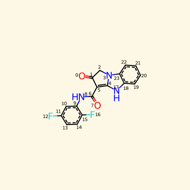 O=C1CN2C(=C1C(=O)Nc1cc(F)ccc1F)Nc1ccccc12